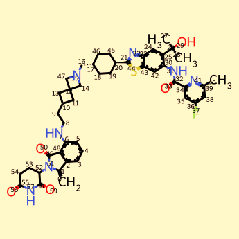 C=C1c2cccc(NCCC3CC4(C3)CN(C[C@H]3CC[C@H](c5nc6cc(C(C)(C)O)c(NC(=O)c7cc(F)cc(C)n7)cc6s5)CC3)C4)c2C(=O)N1C1CCC(=O)NC1=O